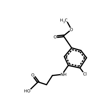 COC(=O)c1ccc(Cl)c(NCCC(=O)O)c1